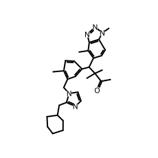 CC(=O)C(C)(C)C(c1ccc(C)c(Cn2ccnc2CC2CCCCC2)c1)c1ccc2c(nnn2C)c1C